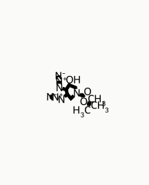 CC(C)(C)OC(=O)N1CC(N=[N+]=[N-])C(N=[N+]=[N-])[C@H](O)C1